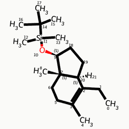 CCC1=C(C)CC[C@]2(C)[C@@H](O[Si](C)(C)C(C)(C)C)CC[C@@H]12